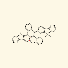 CC1(C)c2ccccc2-c2ccc(N(c3ccccc3-c3cccc4c3sc3ccccc34)c3cccc4ccccc34)cc21